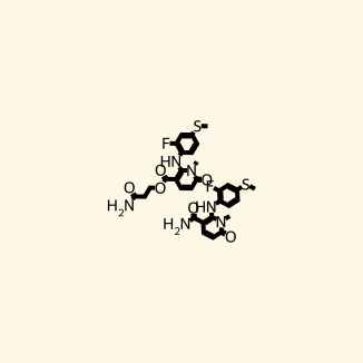 CSc1ccc(Nc2c(C(=O)OCCC(N)=O)ccc(=O)n2C)c(F)c1.CSc1ccc(Nc2c(C(N)=O)ccc(=O)n2C)c(F)c1